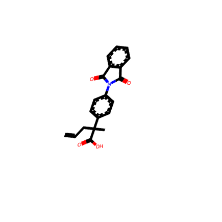 C=CCC(C)(C(=O)O)c1ccc(N2C(=O)c3ccccc3C2=O)cc1